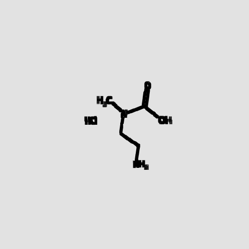 CN(CCN)C(=O)O.Cl